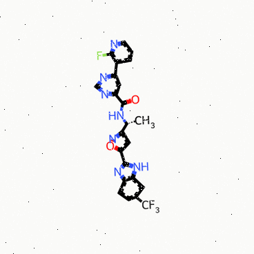 C[C@@H](NC(=O)c1cc(-c2cccnc2F)ncn1)c1cc(-c2nc3ccc(C(F)(F)F)cc3[nH]2)on1